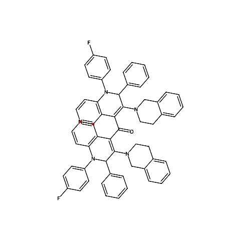 O=C(C1=C(N2CCc3ccccc3C2)C(c2ccccc2)N(c2ccc(F)cc2)c2ccncc21)C1=C(N2CCc3ccccc3C2)C(c2ccccc2)N(c2ccc(F)cc2)c2ccncc21